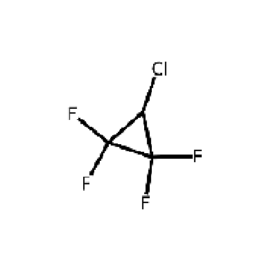 FC1(F)[C](Cl)C1(F)F